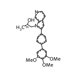 COc1cc(-c2ccc(-c3cc4ccncc4n3C[C@@H](C)O)cc2)cc(OC)c1OC